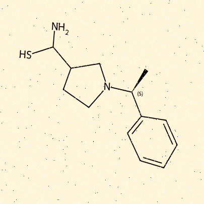 C[C@@H](c1ccccc1)N1CCC(C(N)S)C1